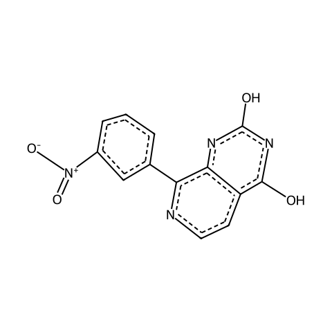 O=[N+]([O-])c1cccc(-c2nccc3c(O)nc(O)nc23)c1